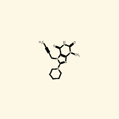 CC#CCn1c(N2C[CH]CCC2)nc2c1c(=O)[nH]c(=O)n2C